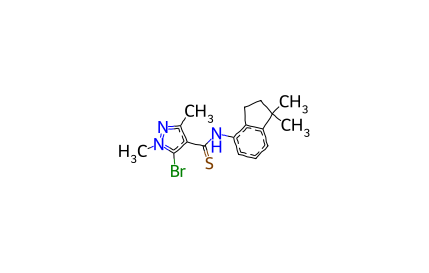 Cc1nn(C)c(Br)c1C(=S)Nc1cccc2c1CCC2(C)C